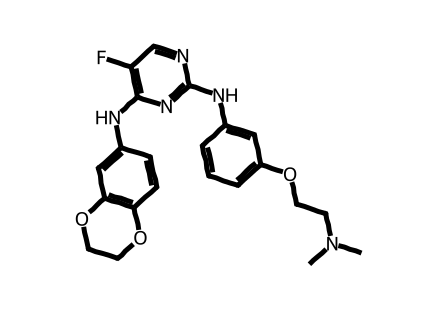 CN(C)CCOc1cccc(Nc2ncc(F)c(Nc3ccc4c(c3)OCCO4)n2)c1